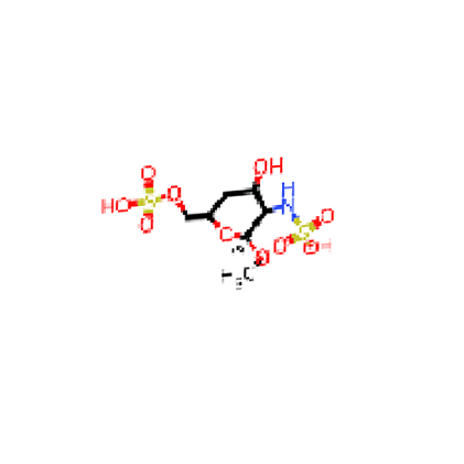 CO[C@H]1OC(COS(=O)(=O)O)CC(O)C1NS(=O)(=O)O